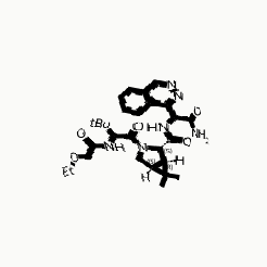 CCOCC(=O)NC(C(=O)N1C[C@H]2[C@@H]([C@H]1C(=O)NC(C(N)=O)c1nncc3ccccc13)C2(C)C)C(C)(C)C